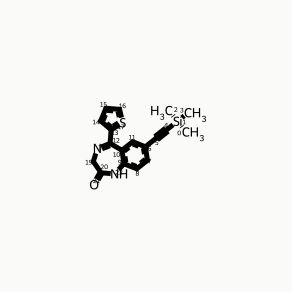 C[Si](C)(C)C#Cc1ccc2c(c1)C(c1cccs1)=NCC(=O)N2